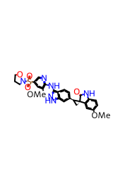 COc1ccc2c(c1)[C@]1(C[C@H]1c1ccc3c(Nc4ncc(S(=O)(=O)N5CCCO5)cc4OC)n[nH]c3c1)C(=O)N2